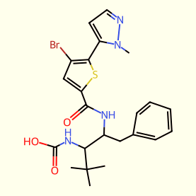 Cn1nccc1-c1sc(C(=O)NC(Cc2ccccc2)C(NC(=O)O)C(C)(C)C)cc1Br